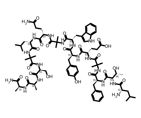 CC(C)C[C@H](NC(=O)[C@H](CCC(N)=O)NC(=O)C(C)(C)NC(=O)[C@H](Cc1c[nH]c2ccccc12)NC(=O)[C@H](Cc1ccc(O)cc1)NC(=O)[C@H](CCC(=O)O)NC(=O)C(C)(C)NC(=O)[C@H](Cc1ccccc1)NC(=O)[C@@H](NC(=O)[C@@H](N)CC(C)C)[C@@H](C)O)C(=O)NC(C)(C)C(=O)N[C@@H](CO)C(=O)N[C@@H](C)C(=O)N[C@@H](C)C(N)=O